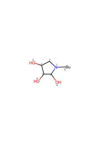 CCCCN1CC(O)C(O)C1O